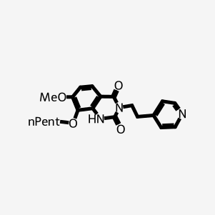 CCCCCOc1c(OC)ccc2c(=O)n(CCc3ccncc3)c(=O)[nH]c12